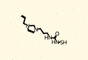 C=CCN1C=CN(CCCNC(=O)NS)C1